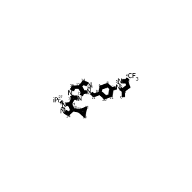 Cc1cc(C(F)(F)F)nn1-c1ccc(Cn2ncc3cnc(-c4c(C5CC5)cnn4C(C)C)nc32)cc1